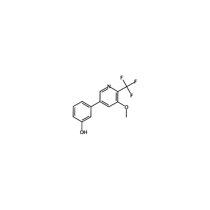 COc1cc(-c2cccc(O)c2)cnc1C(F)(F)F